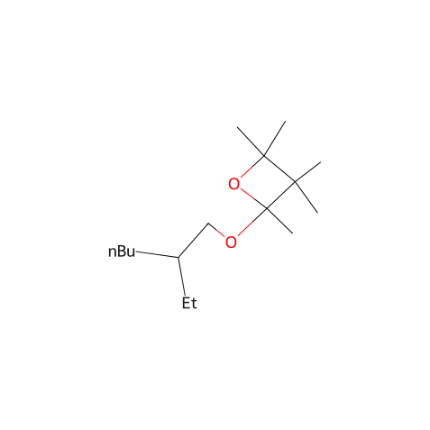 CCCCC(CC)COC1(C)OC(C)(C)C1(C)C